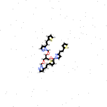 C(=C\c1cccs1)/c1ccn(COCC(COCn2nccc2/C=C/c2cccs2)COCn2nccc2/C=C/c2cccs2)n1